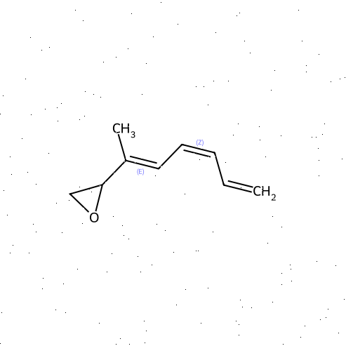 C=C/C=C\C=C(/C)C1CO1